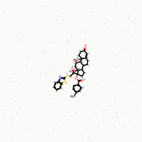 CC(C)(C)c1ccc(C(=O)O[C@]2(C(=O)CSc3nc4ccccc4s3)CCC3C4CCC5=CC(=O)CCC5(C)C4[C@@H](O)CC32C)cc1